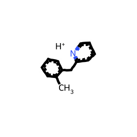 Cc1ccccc1Cc1ccccn1.[H+]